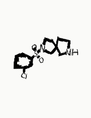 O=S(=O)(c1cccc(Cl)c1)N1CCC2(CCNC2)C1